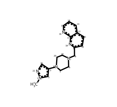 Cn1cc(N2CCN(Cc3ccc4cccnc4n3)CC2)cn1